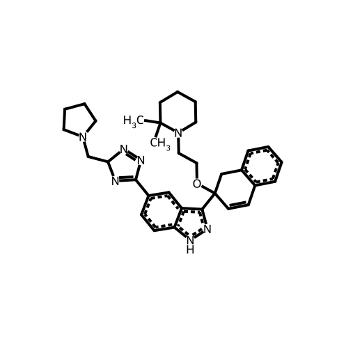 CC1(C)CCCCN1CCOC1(c2n[nH]c3ccc(C4=NC(CN5CCCC5)N=N4)cc23)C=Cc2ccccc2C1